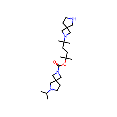 CC(C)N1CCC2(CN(C(=O)OC(C)(C)CCC(C)(C)N3CC4(CCNC4)C3)C2)C1